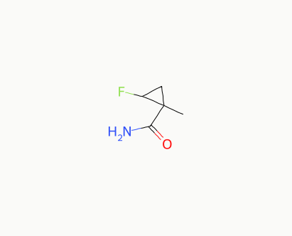 CC1(C(N)=O)CC1F